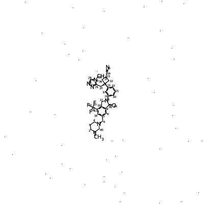 C[C@H]1CCCN(Cc2cc3c(c(C(F)(F)F)c2)CN(c2cccc(C4(Cc5nncn5C)CC(C#N)C4)c2)C3=O)C1